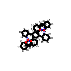 c1ccc(-c2cc(-c3ccccc3-n3c4ccccc4c4ccccc43)c(-c3ccccc3)cc2-c2ccccc2-n2c3ccccc3c3ccccc32)cc1